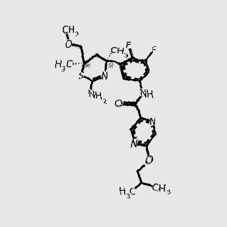 COC[C@@]1(C)C[C@@](C)(c2cc(NC(=O)c3cnc(OCC(C)C)cn3)cc(F)c2F)N=C(N)S1